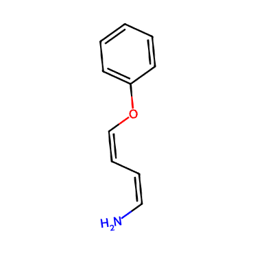 N/C=C\C=C/Oc1ccccc1